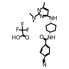 Cc1cc(N[C@H]2CC[C@@H](NC(=O)c3ccc(C#N)cc3)CC2)nc(N(C)C)n1.O=C(O)C(F)(F)F